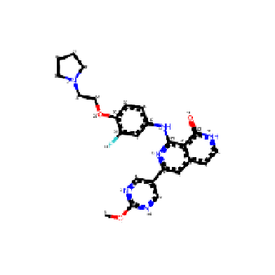 COc1ncc(-c2cc3cc[nH]c(=O)c3c(Nc3ccc(OCCN4CCCC4)c(F)c3)n2)cn1